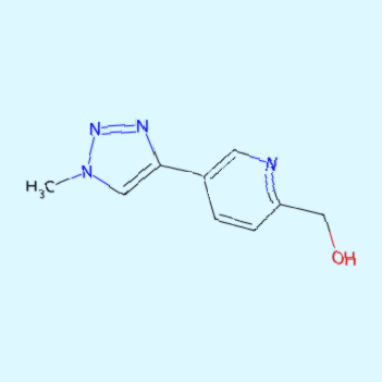 Cn1cc(-c2ccc(CO)nc2)nn1